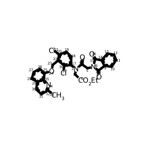 CCOC(=O)CN(C(=O)CN1C(=O)c2ccccc2C1=O)c1ccc(Cl)c(COc2cccc3ccc(C)nc23)c1Cl